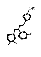 Cc1ccc(CC(/C=C/c2ccc(C=O)cc2)c2cccc(F)c2)cc1C